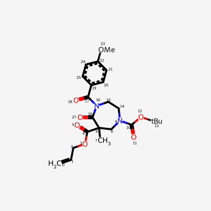 C=CCOC(=O)C1(C)CN(C(=O)OC(C)(C)C)CCN(C(=O)c2ccc(OC)cc2)C1=O